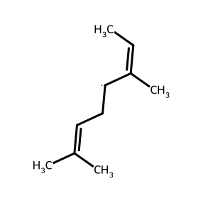 CC=C(C)[CH]CC=C(C)C